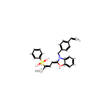 C=Cc1ccc(CN2/C(=C/C=C(/C(=O)OCC)S(=O)(=O)c3ccccc3)Oc3ccccc32)cc1